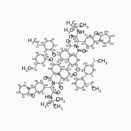 CCc1cccc(Oc2cc3c4c(cc(Oc5cccc(CC)c5)c5c6c(Oc7cccc(CC)c7)cc7c8c(cc(Oc9cccc(CC)c9)c(c2c45)c86)C(=O)N(C(C(=O)NC(C)(C)C)c2ccc4c(c2)oc2ccccc24)C7=O)C(=O)N(C(C(=O)NC(C)(C)C)c2ccc4c(c2)oc2ccccc24)C3=O)c1